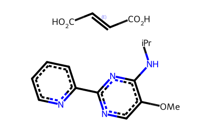 COc1cnc(-c2ccccn2)nc1NC(C)C.O=C(O)/C=C/C(=O)O